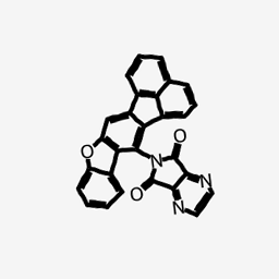 O=C1c2nccnc2C(=O)N1c1c2c(cc3oc4ccccc4c13)-c1cccc3cccc-2c13